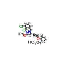 COc1cccc(CC(=O)O)c1OCCCc1cc(OC(C)C)nn1Cc1cccc(Cl)c1Cl